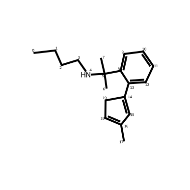 CCCCNC(C)(C)c1ccccc1C1=CC(C)=CC1